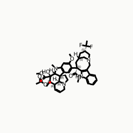 CC[C@]12C=CCN3CC[C@@]4(c5cc([C@@]6(C(=O)OC)C[C@@H]7C[C@H](C(C)(F)F)CN(Cc8c6[nH]c6ccccc86)C7)c(OC)cc5N(C)[C@H]4[C@@](O)(C(=O)OC)[C@@H]1OC(C)=O)[C@@H]32